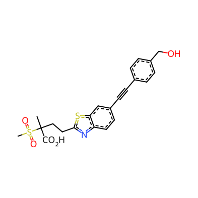 CC(CCc1nc2ccc(C#Cc3ccc(CO)cc3)cc2s1)(C(=O)O)S(C)(=O)=O